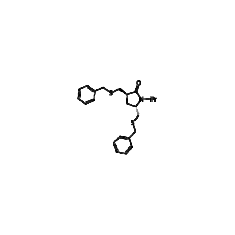 CC(C)N1C(=O)[C@H](CSCc2ccccc2)C[C@H]1CSCc1ccccc1